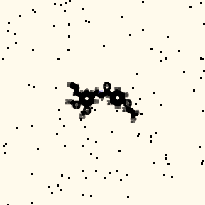 C=CCc1cc(/C=C/C(=O)c2ccc(OCCC)cc2)cc(OC)c1OC